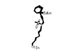 CCOC(=O)CCCCCCN(CC#CC1(OC(C)=O)CCCCC1)S(C)(=O)=O